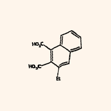 CCc1cc2ccccc2c(C(=O)O)c1C(=O)O